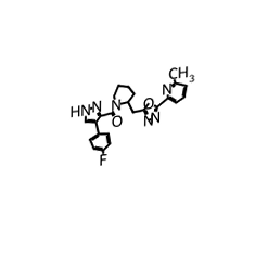 Cc1cccc(-c2nnc(CC3CCCCN3C(=O)c3n[nH]cc3-c3ccc(F)cc3)o2)n1